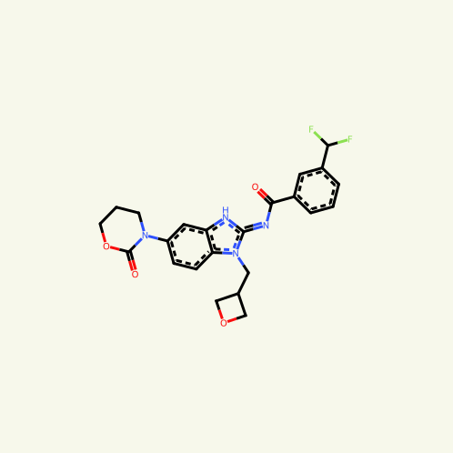 O=C(/N=c1\[nH]c2cc(N3CCCOC3=O)ccc2n1CC1COC1)c1cccc(C(F)F)c1